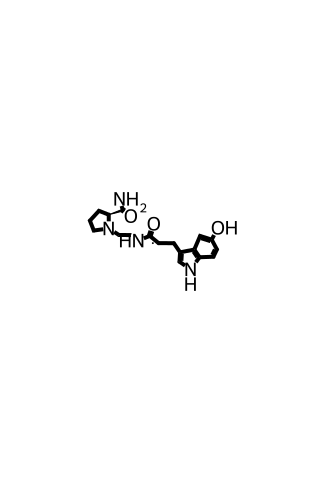 NC(=O)[C@@H]1CCCN1CCNC(=O)[CH]Cc1c[nH]c2ccc(O)cc12